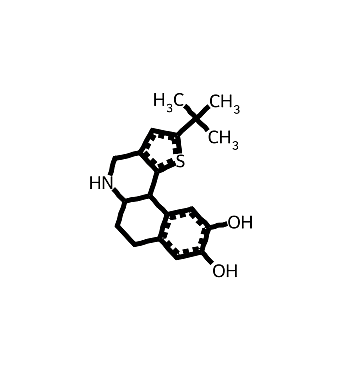 CC(C)(C)c1cc2c(s1)C1c3cc(O)c(O)cc3CCC1NC2